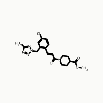 COC(=O)C1CCN(C(=O)C=Cc2ccc(Cl)cc2Cn2nnc(C)n2)CC1